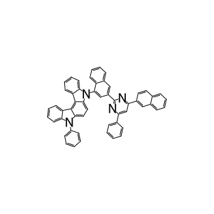 c1ccc(-c2cc(-c3ccc4ccccc4c3)nc(-c3cc(-n4c5ccccc5c5c6c7ccccc7n(-c7ccccc7)c6ccc54)c4ccccc4c3)n2)cc1